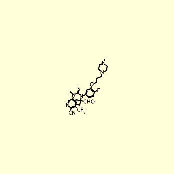 CN1CCN(CCCOc2cc(N(C(=S)N(C)c3cnc(C#N)c(C(F)(F)F)c3)C3(C=O)CCC3)ccc2F)CC1